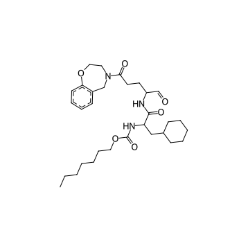 CCCCCCCOC(=O)NC(CC1CCCCC1)C(=O)NC(C=O)CCC(=O)N1CCOc2ccccc2C1